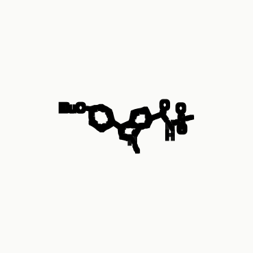 CC(C)COc1ccc(-c2cn(C)c3cc(C(=O)NS(C)(=O)=O)ccc23)cc1